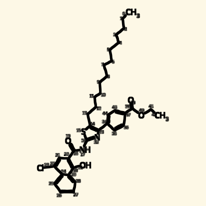 CCCCCCCCCCCCCCc1sc(NC(=O)c2cc(Cl)c3ccccc3c2O)nc1-c1ccc(C(=O)OCC)cc1